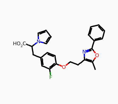 Cc1oc(-c2ccccc2)nc1CCOc1ccc(CC(C(=O)O)n2cccc2)cc1F